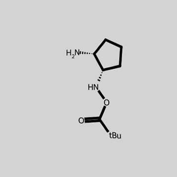 CC(C)(C)C(=O)ON[C@H]1CCC[C@H]1N